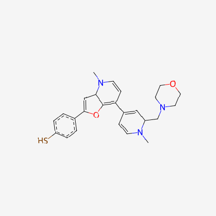 CN1C=CC(C2=C3OC(c4ccc(S)cc4)=CC3N(C)C=C2)=CC1CN1CCOCC1